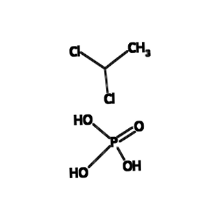 CC(Cl)Cl.O=P(O)(O)O